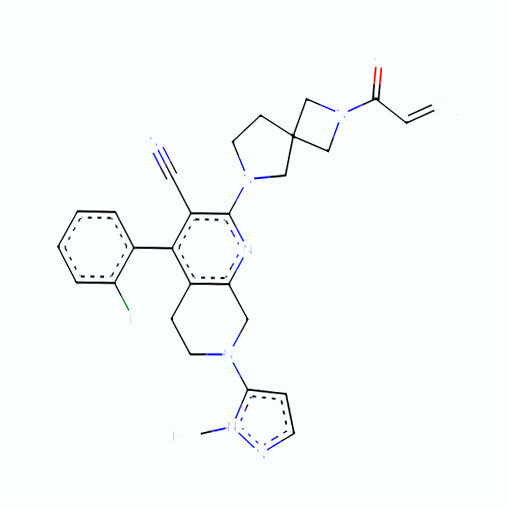 C=CC(=O)N1CC2(CCN(c3nc4c(c(-c5ccccc5F)c3C#N)CCN(c3ccnn3C)C4)C2)C1